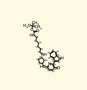 CC(C)(C)OC(=O)NCCCCCCN[C@H]1CC[C@@H](Nc2ncc(Cl)c(-c3c[nH]c4ccccc34)n2)C1